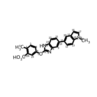 Cc1ccc(Oc2nc3cc(-c4ccc5c(ccn5C)c4)ccc3[nH]2)cc1C(=O)O